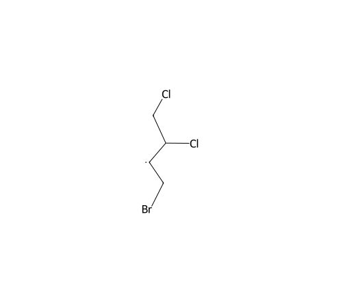 ClCC(Cl)[CH]CBr